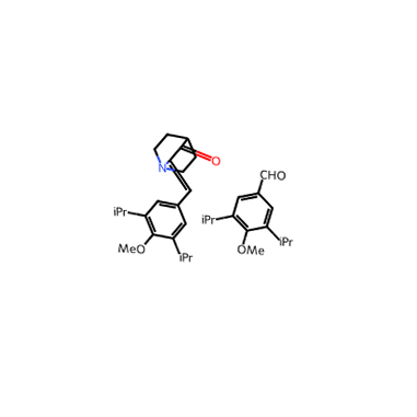 COc1c(C(C)C)cc(C=C2C(=O)C3CCN2CC3)cc1C(C)C.COc1c(C(C)C)cc(C=O)cc1C(C)C